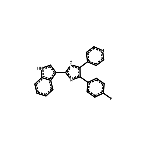 Fc1ccc(-c2nc(-c3c[nH]c4ccccc34)[nH]c2-c2ccncc2)cc1